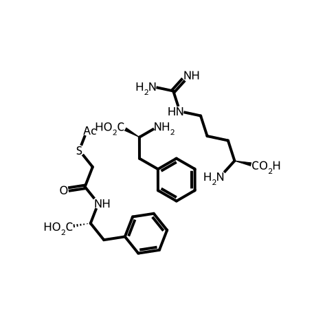 CC(=O)SCC(=O)N[C@H](Cc1ccccc1)C(=O)O.N=C(N)NCCC[C@H](N)C(=O)O.N[C@@H](Cc1ccccc1)C(=O)O